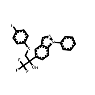 OC(CSc1ccc(F)cc1)(c1ccc2c(cnn2-c2ccccc2)c1)C(F)(F)F